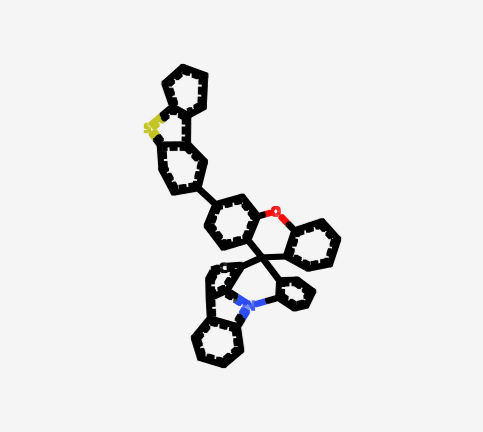 c1ccc2c(c1)Oc1cc(-c3ccc4sc5ccccc5c4c3)ccc1C21c2ccccc2-n2c3ccccc3c3cccc1c32